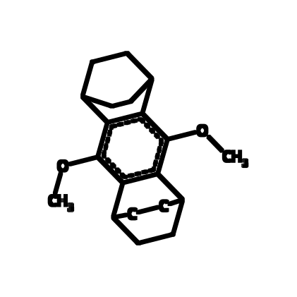 COc1c2c(c(OC)c3c1C1CCC3CC1)C1CCC2CC1